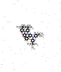 CC(C)(C)c1ccc(N(c2ccc(C(C)(C)C)cc2)c2ccc(N3c4ccc(C(C)(C)C)cc4B4c5cc(C(C)(C)C)ccc5Oc5cccc3c54)c3c2sc2ccccc23)cc1